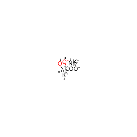 CC(=O)[O-].O=C([O-])[O-].[K+].[K+].[Na+]